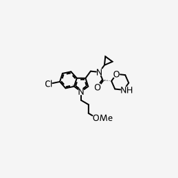 COCCCn1cc(CN(C(=O)[C@H]2CNCCO2)C2CC2)c2ccc(Cl)cc21